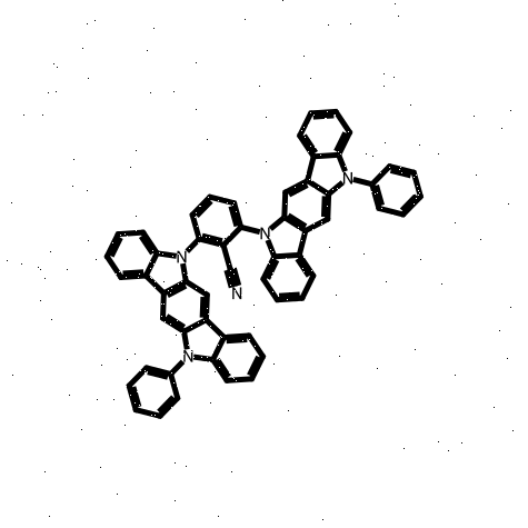 N#Cc1c(-n2c3ccccc3c3cc4c(cc32)c2ccccc2n4-c2ccccc2)cccc1-n1c2ccccc2c2cc3c(cc21)c1ccccc1n3-c1ccccc1